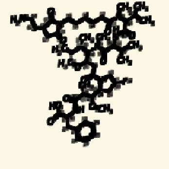 CC[C@H](C)[C@@H]([C@@H](CC(=O)N1C[C@@H](F)C[C@H]1[C@H](OC)[C@@H](C)C(=O)N[C@@H](Cc1ccccc1)C(=O)O)OC)N(C)C(=O)[C@@H](NC(=O)[C@H](C(C)C)N(C)C(=O)CCCCCN1C(=O)CC(SCN)C1=O)C(C)C